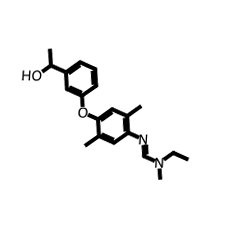 CCN(C)/C=N/c1cc(C)c(Oc2cccc(C(C)O)c2)cc1C